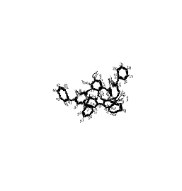 FC(F)(F)c1cc(-c2nc(-c3ccccc3)cc(-c3ccccc3)n2)c(-n2c3ccccc3c3ccc(C(F)(F)F)cc32)c(-c2nc(-c3ccccc3)cc(-c3ccccc3)n2)c1